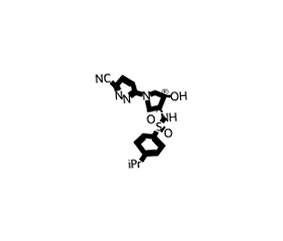 CC(C)c1ccc(S(=O)(=O)N[C@@H]2CN(c3ccc(C#N)nn3)C[C@H]2O)cc1